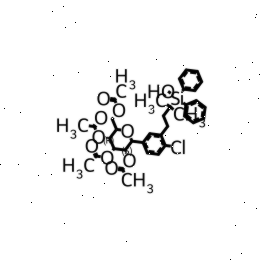 CC(=O)OCC1OC(c2ccc(Cl)c(CCC(C)(C)[Si](O)(c3ccccc3)c3ccccc3)c2)[C@H](OC(C)=O)C(OC(C)=O)[C@@H]1OC(C)=O